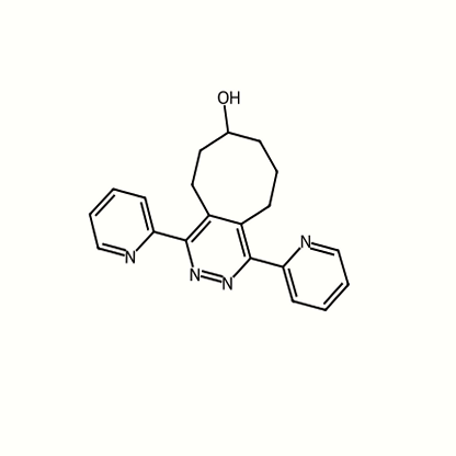 OC1CCCc2c(-c3ccccn3)nnc(-c3ccccn3)c2CC1